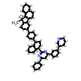 CC1(C)c2ccc(-c3ccc(-c4ccc(-c5nc(-c6ccccc6)cc(-c6cccc(-c7cccnc7)c6)n5)c5ccccc45)cc3)cc2-c2ccc3ccccc3c21